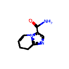 NC(=O)c1cnc2n1C=CCC2